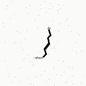 CCCCCC/C=C/CCC(C)=O